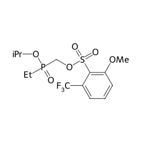 CCP(=O)(COS(=O)(=O)c1c(OC)cccc1C(F)(F)F)OC(C)C